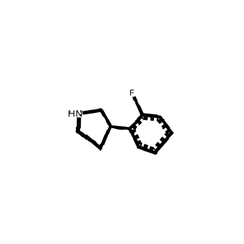 Fc1ccccc1C1[CH]CNC1